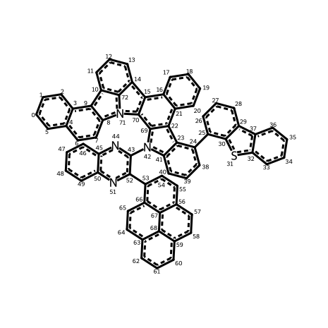 c1ccc2c(c1)ccc1c2c2cccc3c4c5ccccc5c5c6c(-c7cccc8c7sc7ccccc78)cccc6n(-c6nc7ccccc7nc6-c6ccc7ccc8cccc9ccc6c7c89)c5c4n1c23